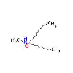 CC[CH]NC(=O)C(CCCCCCCCCCCC)CCCCCCCCCCCC